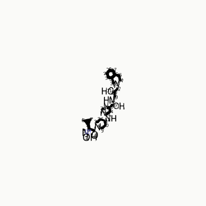 O=C(/C(=N\O)C1CC1)N1CCC(Nc2cc(C(O)NC[C@H](O)CN3CCc4ccccc4C3)ncn2)CC1